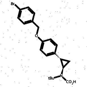 CC(C)(C)N(C(=O)O)[C@@H]1C[C@H]1c1ccc(OCc2ccc(Br)cc2)cc1